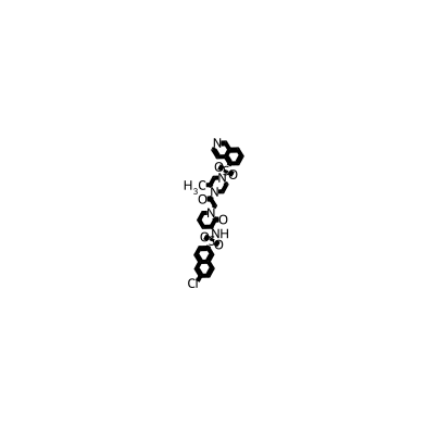 CC1CN(S(=O)(=O)c2cccc3cnccc23)CCN1C(=O)CN1CCC[C@H](NS(=O)(=O)c2ccc3cc(Cl)ccc3c2)C1=O